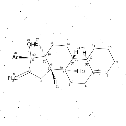 C=C1C[C@H]2[C@@H]3CCC4=CCCC[C@@H]4[C@H]3CC[C@]2(CC)[C@]1(O)C(C)=O